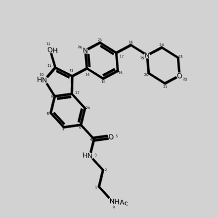 CC(=O)NCCNC(=O)c1ccc2[nH]c(O)c(-c3ccc(CN4CCOCC4)cn3)c2c1